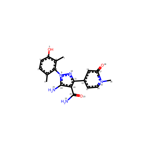 Cc1ccc(O)c(C)c1-n1nc(-c2ccn(C)c(=O)c2)c(C(N)=O)c1N